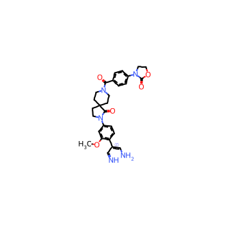 COc1cc(N2CCC3(CCN(C(=O)c4ccc(N5CCOC5=O)cc4)CC3)C2=O)ccc1/C(C=N)=C/N